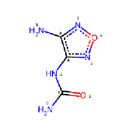 NC(=O)Nc1nonc1N